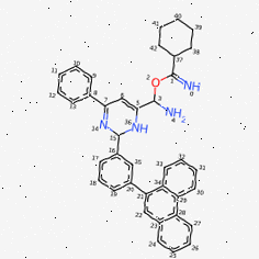 N=C(OC(N)C1=CC(c2ccccc2)=NC(c2cccc(-c3cc4ccccc4c4ccccc34)c2)N1)C1CCCCC1